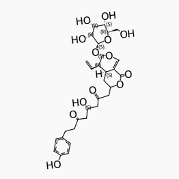 C=C[C@H]1[C@H](O[C@@H]2O[C@H](CO)[C@@H](O)[C@@H](O)[C@H]2O)OC=C2C(=O)OC(CC(=O)C[C@@H](O)CC(=O)CCc3ccc(O)cc3)C[C@H]21